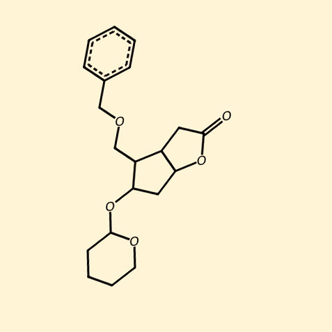 O=C1CC2C(CC(OC3CCCCO3)C2COCc2ccccc2)O1